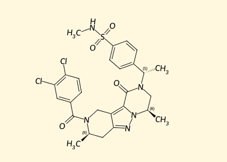 CNS(=O)(=O)c1ccc([C@H](C)N2C[C@@H](C)n3nc4c(c3C2=O)CN(C(=O)c2ccc(Cl)c(Cl)c2)[C@H](C)C4)cc1